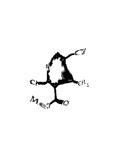 COC(=O)c1c(Cl)ncc(Cl)c1C